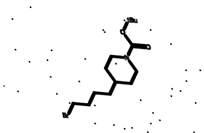 CC(C)(C)OC(=O)N1CCC(CCCCBr)CC1